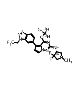 [2H]C([2H])([2H])Oc1nc(N[C@@H]2CN(C)CC2(F)F)nn2ccc(-c3ccc4nnn(CC(F)(F)F)c4c3)c12